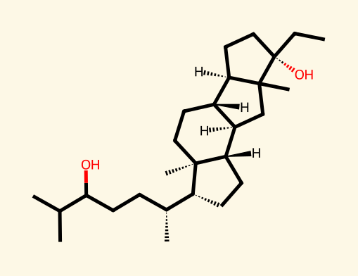 CC[C@]1(O)CC[C@@H]2[C@H]3CC[C@]4(C)[C@@H]([C@H](C)CCC(O)C(C)C)CC[C@H]4[C@@H]3CC21C